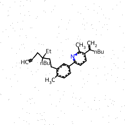 C#CCC(CC)(CCCC)CCc1cc(-c2ccc(C(=C)CCCC)c(C)n2)ccc1C